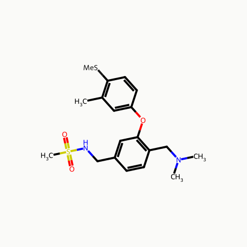 CSc1ccc(Oc2cc(CNS(C)(=O)=O)ccc2CN(C)C)cc1C